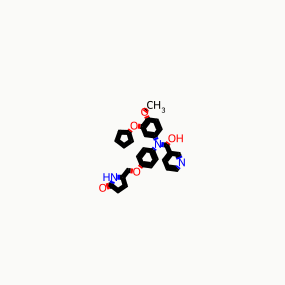 COc1ccc(N(c2ccc(OCC3CCC(=O)N3)cc2)C(O)c2cccnc2)cc1OC1CCCC1